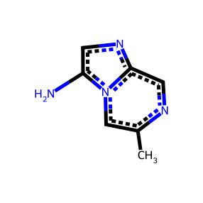 Cc1cn2c(N)cnc2cn1